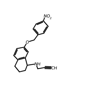 C#CCNC1CCCc2ccc(OCc3ccc([N+](=O)[O-])cc3)cc21